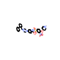 CN1CCC(Oc2ccc(S(=O)(=O)NC(=O)c3ccc(N4CCN(Cc5ccccc5-c5ccccc5)CC4)cc3)cc2[N+](=O)[O-])CC1